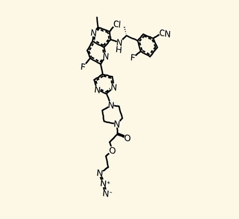 Cc1nc2cc(F)c(-c3cnc(N4CCN(C(=O)COCCN=[N+]=[N-])CC4)nc3)nc2c(N[C@H](C)c2cc(C#N)ccc2F)c1Cl